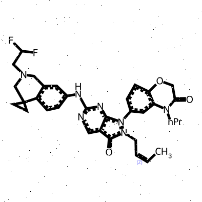 C/C=C\Cn1c(=O)c2cnc(Nc3ccc4c(c3)CN(CC(F)F)CC43CC3)nc2n1-c1ccc2c(c1)N(CCC)C(=O)CO2